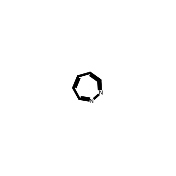 C1=CC=CC=NN=1